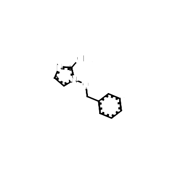 Cc1nccn1OCc1ccccc1